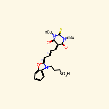 CCCCN1C(=O)C(=C/C=C/C=C2/Oc3ccccc3N2CCCS(=O)(=O)O)C(=O)N(CCCC)C1=S